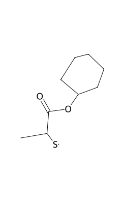 CC([S])C(=O)OC1CCCCC1